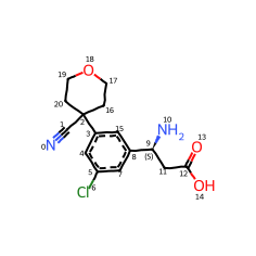 N#CC1(c2cc(Cl)cc([C@@H](N)CC(=O)O)c2)CCOCC1